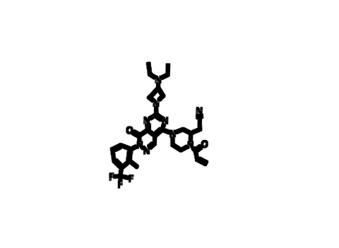 C=CC(=O)N1CCN(c2nc(N3CC(N(CC)CC)C3)nc3c(=O)n(-c4cccc(C(F)(F)F)c4C)ncc23)CC1CC#N